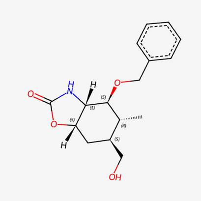 C[C@@H]1[C@@H](CO)C[C@@H]2OC(=O)N[C@@H]2[C@H]1OCc1ccccc1